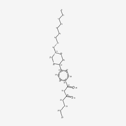 CCCCCCCCCC1CCC(c2ccc(C(=O)CC(=O)CCCC)cc2)CC1